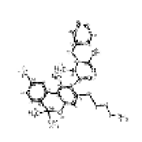 CCCCCc1cc2c(c(O)c1C(=O)N(C)[C@@H](Cc1ccccc1)C(=O)O)-c1cc(C)ccc1C(C)(C)O2